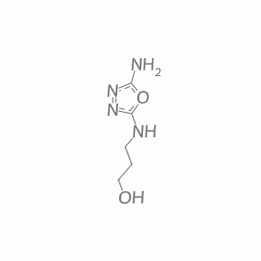 Nc1nnc(NCCCO)o1